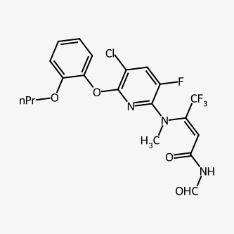 CCCOc1ccccc1Oc1nc(N(C)/C(=C\C(=O)NC=O)C(F)(F)F)c(F)cc1Cl